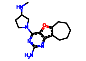 CN[C@@H]1CCN(c2nc(N)nc3c4c(oc23)CCCCC4)C1